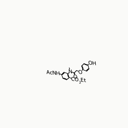 CCOC(=O)c1ccc(NC(C)=O)cc1N(C)C(=O)COc1ccc(O)cc1